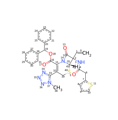 C=CC1(NC(=O)Cc2cccs2)C(=O)N2C(C(=O)OC(c3ccccc3)c3ccccc3)=C(c3nnnn3C)CS[C@H]21